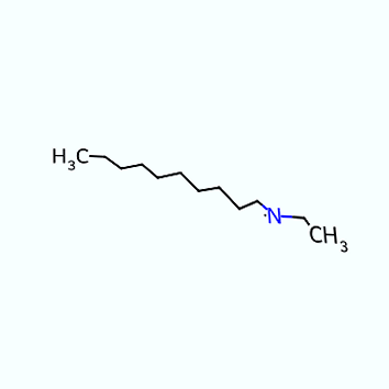 CCCCCCCCCC[N]CC